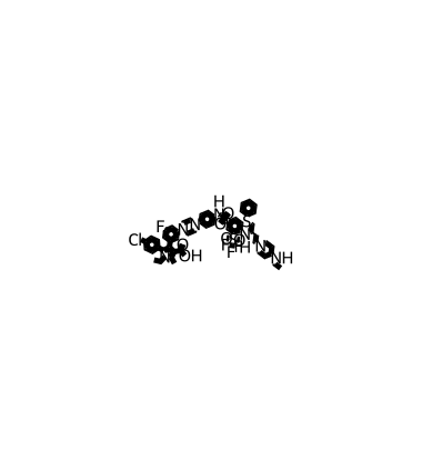 CCNC1CCN(CC[C@H](CSc2ccccc2)Nc2ccc(S(=O)(=O)Nc3ccc(N4CCN(c5cc(F)cc(-c6c(C(=O)O)c(C)n(CC)c6-c6ccc(Cl)cc6)c5)CC4)cc3)cc2S(=O)(=O)C(F)(F)F)CC1